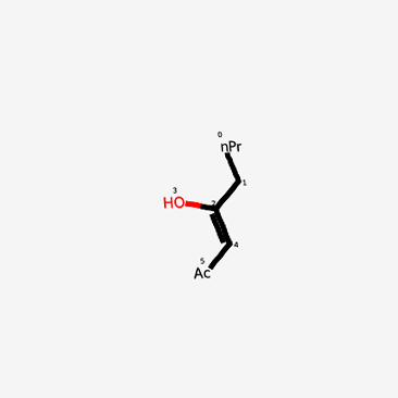 CCCC/C(O)=C/C(C)=O